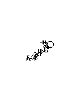 O=C(NCc1ccc(S(=O)(=O)c2ccc(C(F)(F)F)cc2F)cc1)c1cc2c([nH]1)C1(CCCCCCCCCC1)CNC2